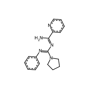 N/C(=N\C(=N\c1ccccc1)N1CCCC1)c1ccccn1